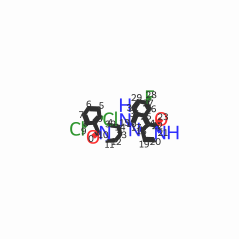 O=C(c1c(Cl)cccc1Cl)N1CCC[C@@H](Nc2nc3cc[nH]c(=O)c3c3cc(F)ccc23)C1